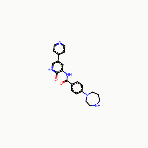 O=C(Nc1cc(-c2ccncc2)c[nH]c1=O)c1ccc(N2CCCNCC2)cc1